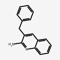 Nc1nc2ccccc2cc1Cc1ccccc1